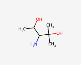 CC(O)C(N)C(C)(C)O